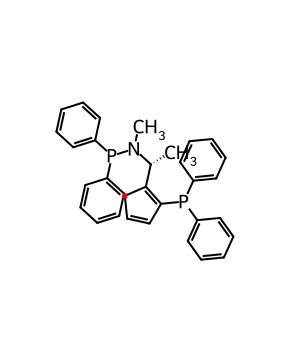 C[C@H](C1=C(P(c2ccccc2)c2ccccc2)C=CC1)N(C)P(c1ccccc1)c1ccccc1